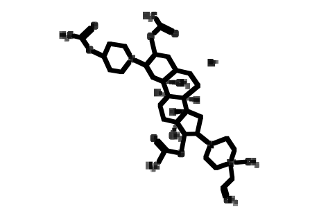 C=CC[N+]1(C)CCN(C2C[C@H]3[C@@H]4CCC5CC(OC(C)=O)C(N6CCC(OC(C)=O)CC6)C[C@]5(C)[C@@H]4CC[C@]3(C)C2OC(C)=O)CC1.[Br-]